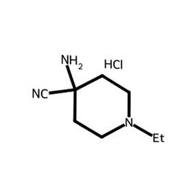 CCN1CCC(N)(C#N)CC1.Cl